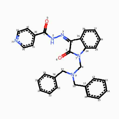 O=C(N/N=C1\C(=O)N(CN(Cc2ccccc2)Cc2ccccc2)c2ccccc21)c1ccncc1